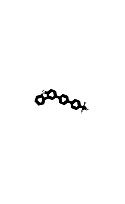 FC(F)(F)c1ccc(-c2ccc(-c3ccc4sc5ccccc5c4c3)cc2)cc1